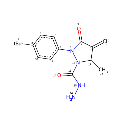 [CH]=C1C(=O)N(c2ccc(C(C)(C)C)cc2)N(C(=O)NN)C1C